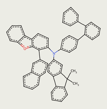 CC1(C)c2ccccc2-c2ccc(N(c3ccc(-c4ccccc4-c4ccccc4)cc3)c3ccc4c(oc5ccccc54)c3-c3ccc4ccccc4c3)cc21